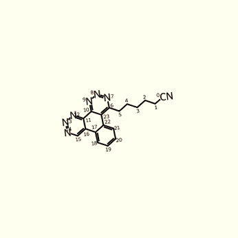 N#CCCCCCc1nnnc2c3nnncc3c3ccccc3c12